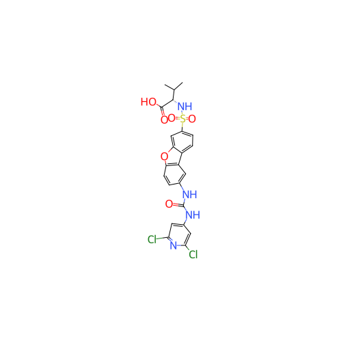 CC(C)[C@H](NS(=O)(=O)c1ccc2c(c1)oc1ccc(NC(=O)Nc3cc(Cl)nc(Cl)c3)cc12)C(=O)O